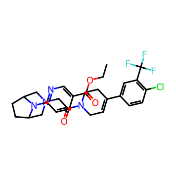 CCOC(=O)c1ccc(N2C3CCC2CN(CC(=O)N2CC=C(c4ccc(Cl)c(C(F)(F)F)c4)CC2)C3)nc1